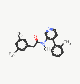 Cc1ccccc1-c1ccncc1N(C)C(=O)Cc1cc(C(F)(F)F)cc(C(F)(F)F)c1